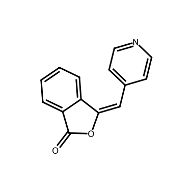 O=C1O/C(=C/c2ccncc2)c2ccccc21